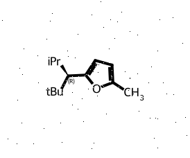 Cc1ccc([C@H](C(C)C)C(C)(C)C)o1